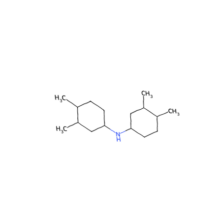 CC1CCC(NC2CCC(C)C(C)C2)CC1C